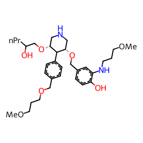 CCCC(O)CO[C@@H]1CNC[C@H](OCc2ccc(O)c(NCCCOC)c2)C1c1ccc(COCCCOC)cc1